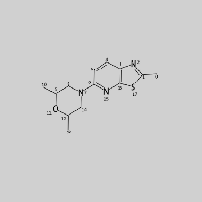 Cc1nc2ccc(N3CC(C)OC(C)C3)nc2s1